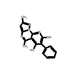 Cc1cc2nc(C)c3c(O)c(-c4ccccc4)c(O)nc3n2n1